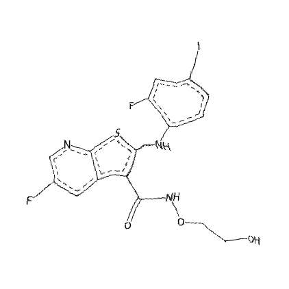 O=C(NOCCO)c1c(Nc2ccc(I)cc2F)sc2ncc(F)cc12